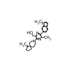 Cc1nc(N2CCC3(CCC[C@H]3C)CC2)c(CO)nc1-c1ccc2ccn(C)c2c1